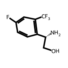 N[C@H](CO)c1ccc(F)cc1C(F)(F)F